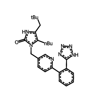 CCCCc1c(CC(C)(C)C)[nH]c(=O)n1Cc1ccc(-c2ccccc2-c2nnn[nH]2)nc1